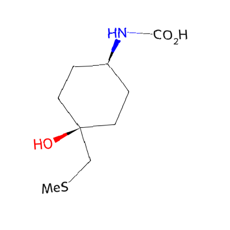 CSC[C@]1(O)CC[C@@H](NC(=O)O)CC1